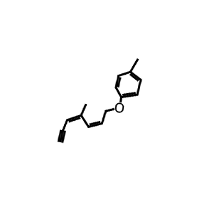 C#C/C=C(C)\C=C/COc1ccc(C)cc1